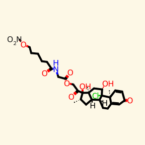 C[C@H]1C[C@H]2[C@@H]3CCC4=CC(=O)C=C[C@]4(C)[C@@]3(Cl)[C@@H](O)C[C@]2(C)C1(O)C(=O)COC(=O)CNC(=O)CCCCCO[N+](=O)[O-]